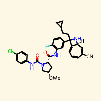 CO[C@H]1C[C@@H](C(=O)Nc2cc(C3(CCC4CC4)N[C@H]4C=C(C#N)C=CC=C43)ccc2F)N(C(=O)Nc2ccc(Cl)cc2)C1